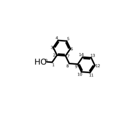 OCc1[c]cccc1Cc1ccccc1